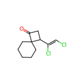 O=C1CC(C(Cl)=CCl)C12CCCCC2